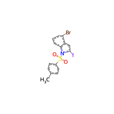 Cc1ccc(S(=O)(=O)n2c(I)cc3c(Br)cccc32)cc1